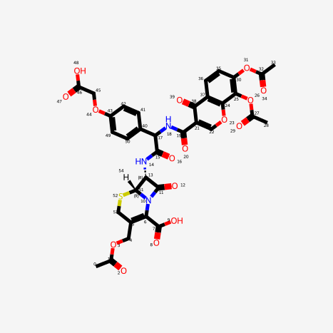 CC(=O)OCC1=C(C(=O)O)N2C(=O)[C@@H](NC(=O)C(NC(=O)c3coc4c(OC(C)=O)c(OC(C)=O)ccc4c3=O)c3ccc(OCC(=O)O)cc3)[C@H]2SC1